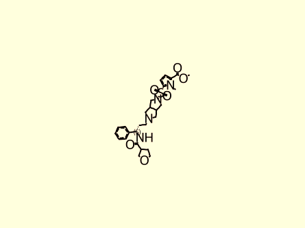 COC(=O)c1ccc(S(=O)(=O)N2CC3CN(CC[C@H](NC(=O)C4CCOC4)c4ccccc4)CC3C2)n1C